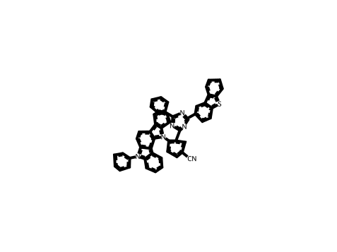 N#Cc1ccc(-n2c3ccccc3c3ccc4c(c5ccccc5n4-c4ccccc4)c32)c(-c2nc(-c3ccccc3)nc(-c3ccc4sc5ccccc5c4c3)n2)c1